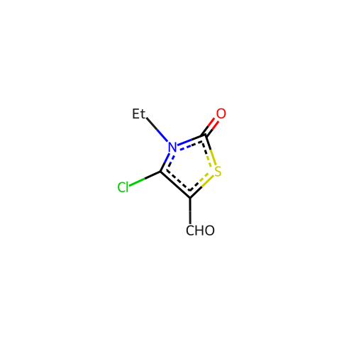 CCn1c(Cl)c(C=O)sc1=O